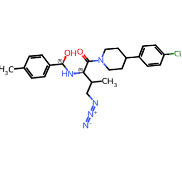 Cc1ccc([C@@H](O)N[C@@H](C(=O)N2CCC(c3ccc(Cl)cc3)CC2)C(C)CN=[N+]=[N-])cc1